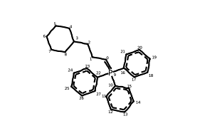 C(CCC1CCCCC1)=P(c1ccccc1)(c1ccccc1)c1ccccc1